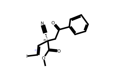 COC(=O)[C@@](C#N)(/C=C/I)CC(=O)c1ccccc1